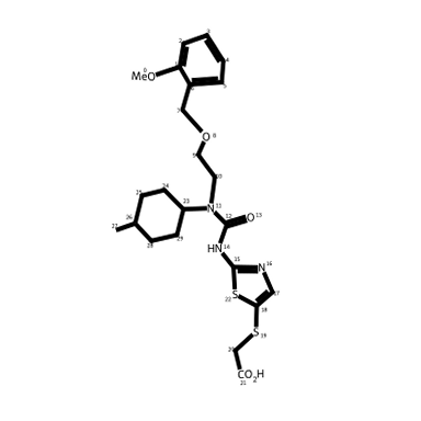 COc1ccccc1COCCN(C(=O)Nc1ncc(SCC(=O)O)s1)C1CCC(C)CC1